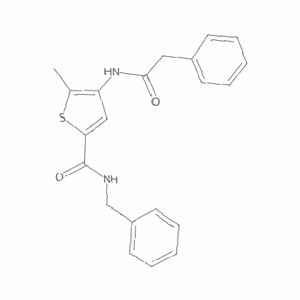 Cc1sc(C(=O)NCc2ccccc2)cc1NC(=O)Cc1ccccc1